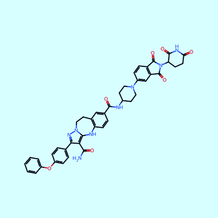 NC(=O)c1c(-c2ccc(Oc3ccccc3)cc2)nn2c1Nc1ccc(C(=O)NC3CCN(c4ccc5c(c4)C(=O)N(C4CCC(=O)NC4=O)C5=O)CC3)cc1CC2